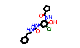 O=C(NCCc1ccccc1)Nc1cc(Cl)c(O)c(NC(=O)C2CCCC2)c1